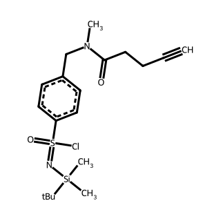 C#CCCC(=O)N(C)Cc1ccc(S(=O)(Cl)=N[Si](C)(C)C(C)(C)C)cc1